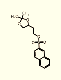 CC1(C)OCC(CCOS(=O)(=O)c2ccc3ccccc3c2)O1